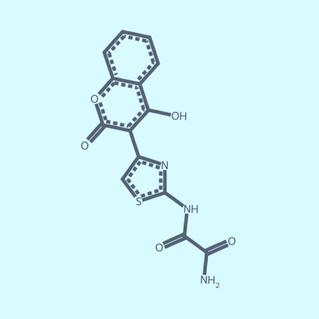 NC(=O)C(=O)Nc1nc(-c2c(O)c3ccccc3oc2=O)cs1